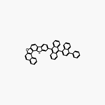 c1ccc(-c2ccc(-c3c4ccccc4c(-c4ccc5c(c4)sc4c5ccc5oc6ccc7ccccc7c6c54)c4ccccc34)c3ccccc23)cc1